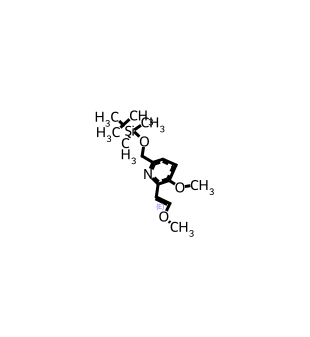 CO/C=C/c1nc(CO[Si](C)(C)C(C)(C)C)ccc1OC